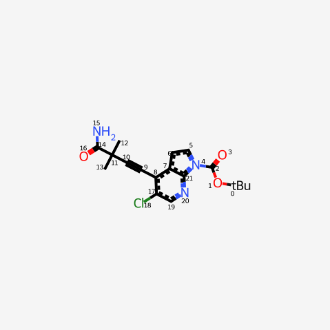 CC(C)(C)OC(=O)n1ccc2c(C#CC(C)(C)C(N)=O)c(Cl)cnc21